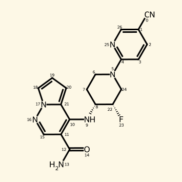 N#Cc1ccc(N2CC[C@@H](Nc3c(C(N)=O)cnn4cccc34)[C@@H](F)C2)nc1